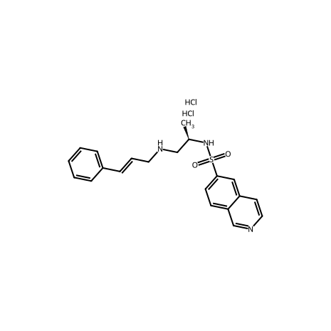 C[C@H](CNCC=Cc1ccccc1)NS(=O)(=O)c1ccc2cnccc2c1.Cl.Cl